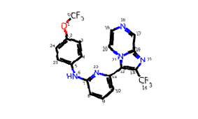 FC(F)(F)Oc1ccc(Nc2cccc(-c3c(C(F)(F)F)nc4cnccn34)n2)cc1